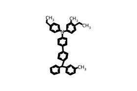 CCc1ccc(N(c2ccc(-c3ccc(C(c4ccccc4)c4cccc(C)c4)cc3)cc2)c2ccc(CC)c(C)c2)cc1